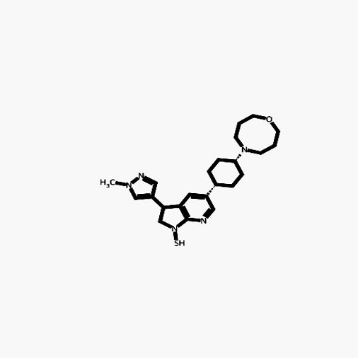 Cn1cc(C2CN(S)c3ncc([C@H]4CC[C@@H](N5CCCOCCC5)CC4)cc32)cn1